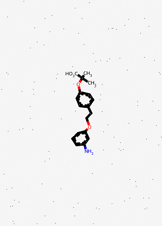 CC(C)(Oc1ccc(CCOc2cccc(N)c2)cc1)C(=O)O